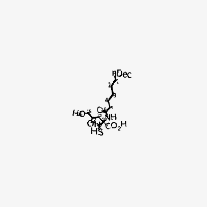 CCCCCCCCCCCCCCCC(=O)N[C@@](CS)(C[C@@H](O)CO)C(=O)O